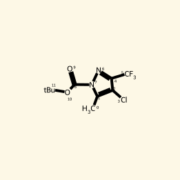 Cc1c(Cl)c(C(F)(F)F)nn1C(=O)OC(C)(C)C